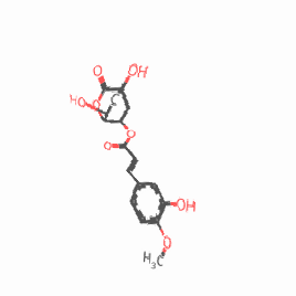 COc1ccc(/C=C/C(=O)OC2CC3(O)CC(O)C2OC3=O)cc1O